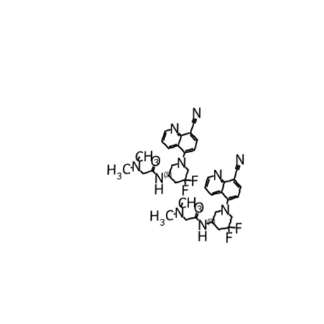 CN(C)CC(=O)N[C@@H]1CN(c2ccc(C#N)c3ncccc23)CC(F)(F)C1.CN(C)CC(=O)N[C@H]1CN(c2ccc(C#N)c3ncccc23)CC(F)(F)C1